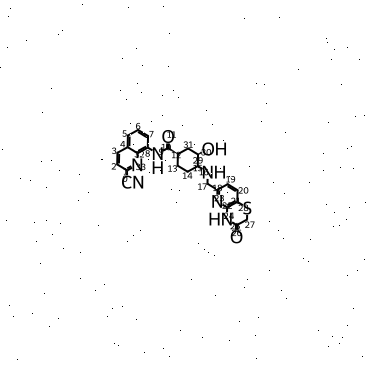 N#Cc1ccc2cccc(NC(=O)[C@@H]3CCC(NCc4ccc5c(n4)NC(=O)CS5)[C@H](O)C3)c2n1